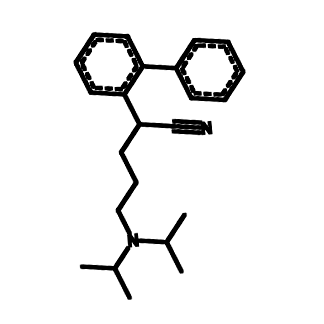 CC(C)N(CCCC(C#N)c1ccccc1-c1ccccc1)C(C)C